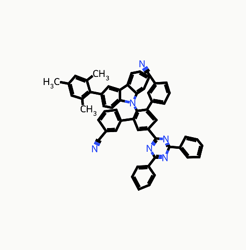 Cc1cc(C)c(-c2ccc3c(c2)c2ccccc2n3-c2c(-c3cccc(C#N)c3)cc(-c3nc(-c4ccccc4)nc(-c4ccccc4)n3)cc2-c2cccc(C#N)c2)c(C)c1